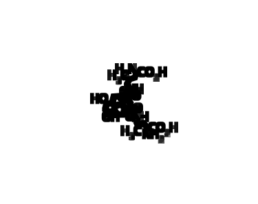 CC(CNS(=O)(=O)c1cc(S(=O)(=O)NCC(C)CC(N)C(=O)O)c2ccc3c(O)cc(O)c4ccc1c2c43)CC(N)C(=O)O